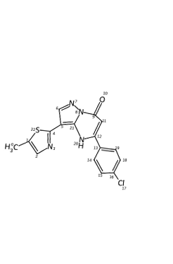 Cc1cnc(-c2cnn3c(=O)cc(-c4ccc(Cl)cc4)[nH]c23)s1